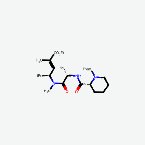 CCCC(C)N1CCCC[C@@H]1C(=O)N[C@H](C(=O)N(C)[C@H](/C=C(\C)C(=O)OCC)C(C)C)C(C)C